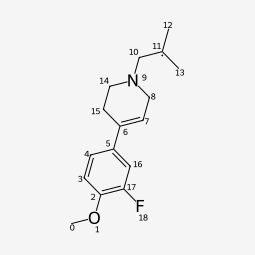 COc1ccc(C2=CCN(C[C](C)C)CC2)cc1F